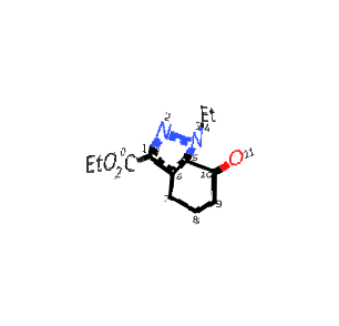 CCOC(=O)c1nn(CC)c2c1CCCC2=O